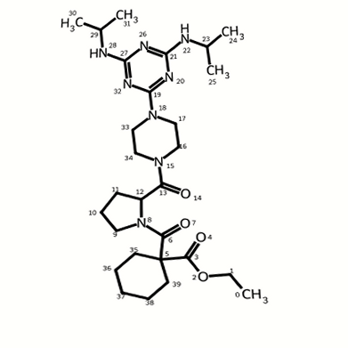 CCOC(=O)C1(C(=O)N2CCCC2C(=O)N2CCN(c3nc(NC(C)C)nc(NC(C)C)n3)CC2)CCCCC1